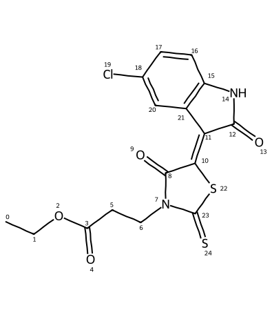 CCOC(=O)CCN1C(=O)/C(=C2/C(=O)Nc3ccc(Cl)cc32)SC1=S